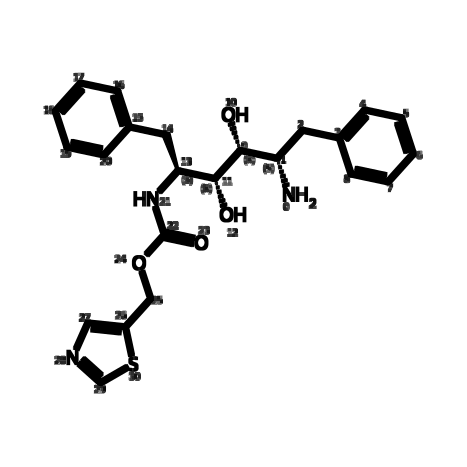 N[C@@H](Cc1ccccc1)[C@@H](O)[C@H](O)[C@H](Cc1ccccc1)NC(=O)OCc1cncs1